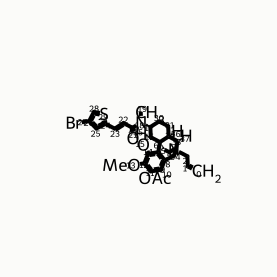 C=CCN1CC[C@]23c4c5c(OC(C)=O)cc(OC)c4O[C@H]2[C@@H](N(C)C(=O)/C=C/c2cc(Br)cs2)CC[C@H]3[C@H]1C5